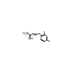 Cc1ccc(CCNC(=N)N)c(C)c1